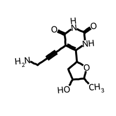 CC1OC(c2[nH]c(=O)[nH]c(=O)c2C#CCN)CC1O